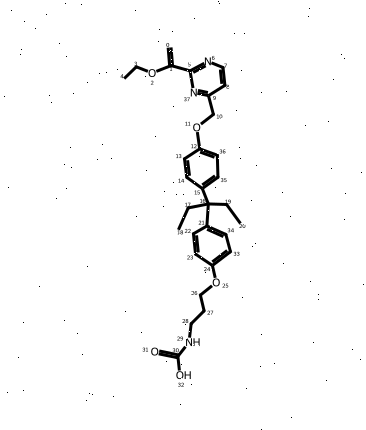 C=C(OCC)c1nccc(COc2ccc(C(CC)(CC)c3ccc(OCCCNC(=O)O)cc3)cc2)n1